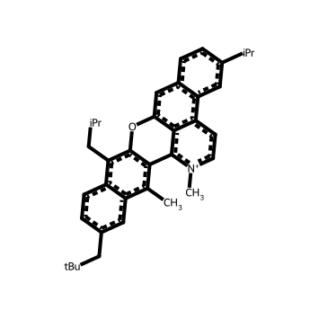 Cc1c2c(c(CC(C)C)c3ccc(CC(C)(C)C)cc13)Oc1cc3ccc(C(C)C)cc3c3cc[n+](C)c-2c13